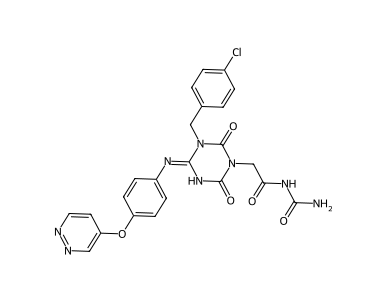 NC(=O)NC(=O)Cn1c(=O)[nH]/c(=N\c2ccc(Oc3ccnnc3)cc2)n(Cc2ccc(Cl)cc2)c1=O